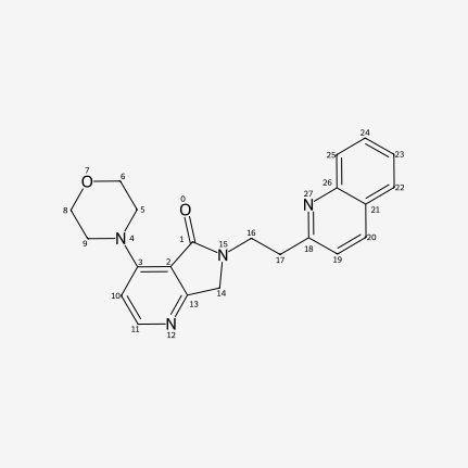 O=C1c2c(N3CCOCC3)ccnc2CN1CCc1ccc2ccccc2n1